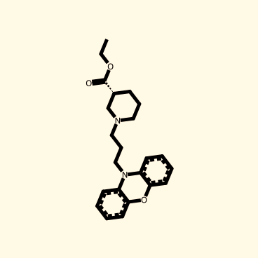 CCOC(=O)[C@@H]1CCCN(CCCN2c3ccccc3Oc3ccccc32)C1